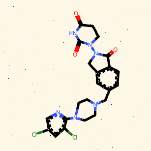 O=C1CCN(N2Cc3cc(CN4CCN(c5ncc(Cl)cc5Cl)CC4)ccc3C2=O)C(=O)N1